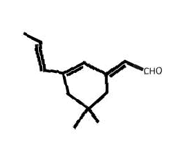 C/C=C/C1=CC(=CC=O)CC(C)(C)C1